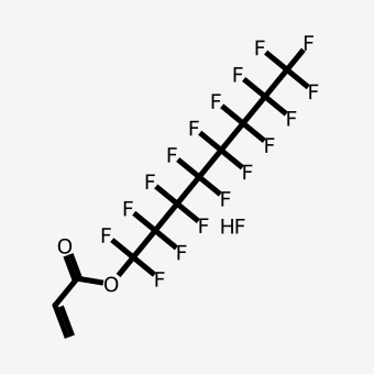 C=CC(=O)OC(F)(F)C(F)(F)C(F)(F)C(F)(F)C(F)(F)C(F)(F)C(F)(F)C(F)(F)F.F